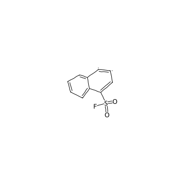 O=S(=O)(F)c1c[c][c]c2ccccc12